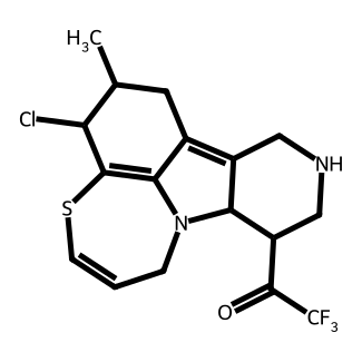 CC1CC2=C3CNCC(C(=O)C(F)(F)F)C3N3CC=CSC(=C23)C1Cl